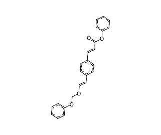 O=C(C=Cc1ccc(C=COCOc2ccccc2)cc1)Oc1ccccc1